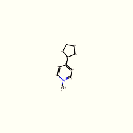 CC(C)(C)[n+]1ccc(C2CCCC2)cc1